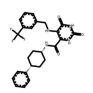 O=C(N[C@H]1CC[C@@H](c2ccccc2)CC1)c1[nH]c(=O)[nH]c(=O)c1NCc1cccc(C(F)(F)F)c1